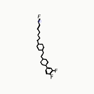 F/C=C/CCCCCCC1CCC(CCC2CCC(c3ccc(F)c(F)c3)CC2)CC1